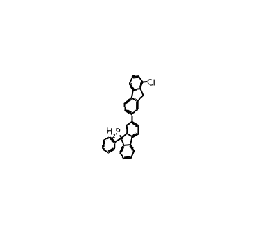 PC1(c2ccccc2)c2ccccc2-c2ccc(-c3ccc4c(c3)Cc3c(Cl)cccc3-4)cc21